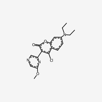 CCN(CC)c1ccc2c(Cl)c(-c3cncc(OC)n3)c(=O)oc2c1